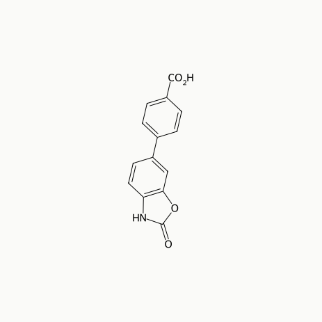 O=C(O)c1ccc(-c2ccc3[nH]c(=O)oc3c2)cc1